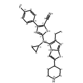 CCc1nc2sc(C3CCNCC3)cn2c1N(c1nc(-c2ccc(F)cc2)c(C#N)s1)C1CC1